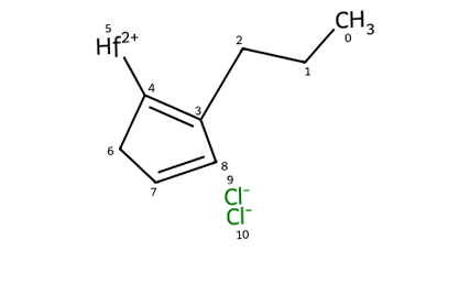 CCCC1=[C]([Hf+2])CC=C1.[Cl-].[Cl-]